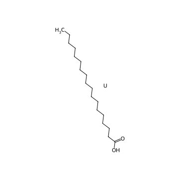 CCCCCCCCCCCCCCCCCC(=O)O.[U]